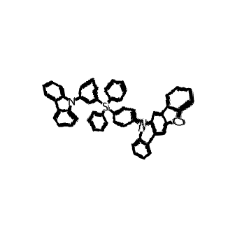 c1ccc([Si](c2ccccc2)(c2ccc(-n3c4ccccc4c4cc5oc6ccccc6c5cc43)cc2)c2cccc(-n3c4ccccc4c4ccccc43)c2)cc1